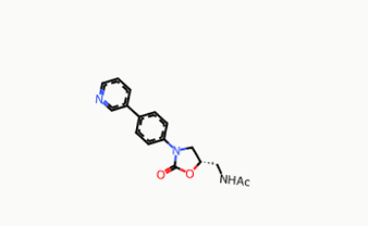 CC(=O)NC[C@H]1CN(c2ccc(-c3cccnc3)cc2)C(=O)O1